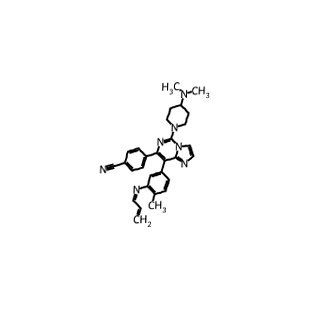 C=C/C=N\c1cc(-c2c(-c3ccc(C#N)cc3)nc(N3CCC(N(C)C)CC3)n3ccnc23)ccc1C